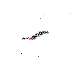 CCCCCCCCOc1ccc(C2=CCC([C@H]3CC[C@H](CCCCCC)CC3)C=C2)cc1